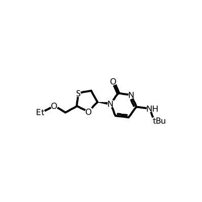 CCOCC1O[C@H](n2ccc(NC(C)(C)C)nc2=O)CS1